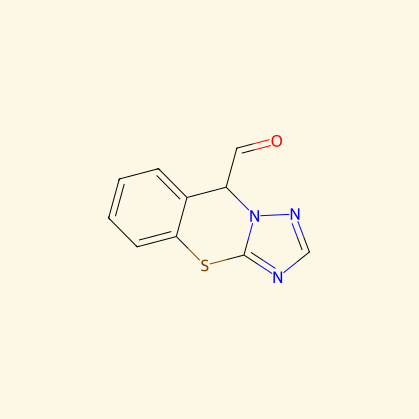 O=CC1c2ccccc2Sc2ncnn21